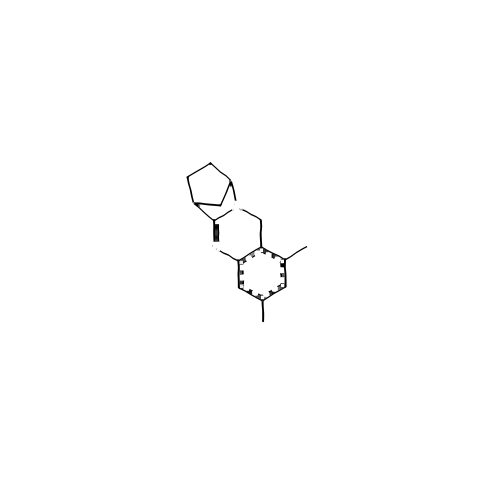 Cc1cc(Cl)cc2c1CN1C(=N2)C2CCC1C2